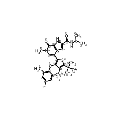 Cc1cc(F)cc(C)c1Oc1c(-c2cn(C)c(=O)c3[nH]c(C(=O)NC(C)C)cc23)sc(C(C)(C)O)c1C